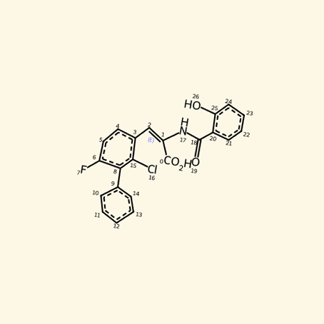 O=C(O)/C(=C\c1ccc(F)c(-c2ccccc2)c1Cl)NC(=O)c1ccccc1O